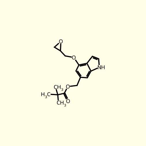 CC(C)(C)C(=O)OCc1cc(OCC2CO2)c2cc[nH]c2c1